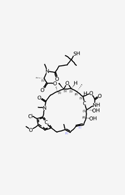 COc1cc2cc(c1Cl)N(C)C(=O)C[C@H](OC(=O)[C@H](C)N(C)C(=O)CCC(C)(C)S)[C@]1(C)O[C@H]1[C@H](C)[C@@H]1C[C@@](O)(NC(=O)O1)[C@H](O)/C=C/C=C(\C)C2